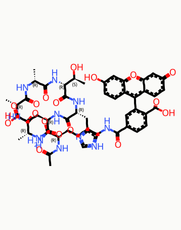 CC(=O)N[C@H](CCCCNC(=O)c1ccc(C(=O)O)c(-c2c3ccc(=O)cc-3oc3cc(O)ccc23)c1)C(=O)N[C@H](C)C(=O)N[C@H](C)C(=O)N[C@H](C)C(=O)N[C@@H](C(=O)N[C@H](Cc1c[nH]cn1)C(=O)N[C@H](CCC(=O)O)C(N)=O)[C@H](C)O